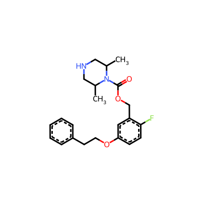 CC1CNCC(C)N1C(=O)OCc1cc(OCCc2ccccc2)ccc1F